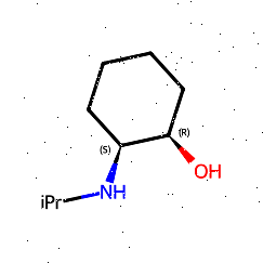 CC(C)N[C@H]1CCCC[C@H]1O